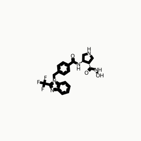 O=C(N[C@@H]1CNC[C@@H]1C(=O)NO)c1ccc(Cn2c(C(F)(F)F)nc3ccccc32)cc1